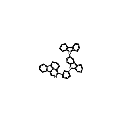 c1cc(-c2ncc3c4c(cccc24)-c2ccccc2-3)cc(-n2c3ccccc3c3cc(-n4c5ccccc5c5ccccc54)ccc32)c1